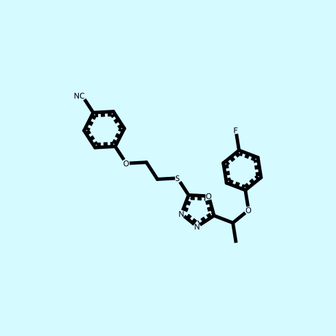 CC(Oc1ccc(F)cc1)c1nnc(SCCOc2ccc(C#N)cc2)o1